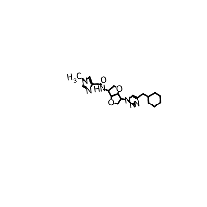 Cn1cnc(C(=O)NC2COC3C2OCC3n2cc(CC3CCCCC3)nn2)c1